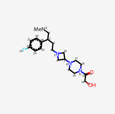 CNCC(CCN1CC(N2CCN(C(=O)CO)CC2)C1)c1ccc(F)cc1